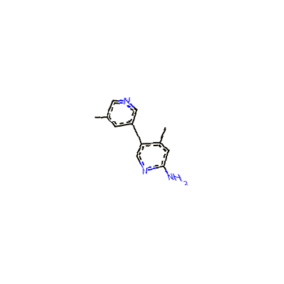 Cc1cncc(-c2cnc(N)cc2C)c1